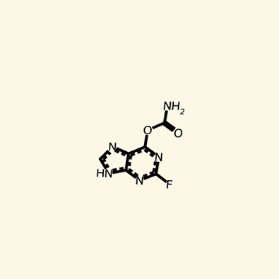 NC(=O)Oc1nc(F)nc2[nH]cnc12